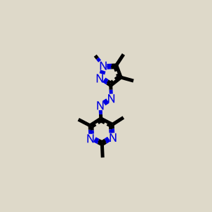 Cc1nc(C)c(N=Nc2nn(C)c(C)c2C)c(C)n1